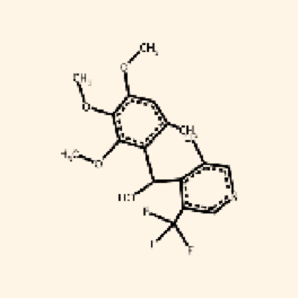 COc1cc(C)c(C(O)c2c(Cl)cncc2C(F)(F)F)c(OC)c1OC